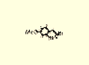 COc1ccc(C=C(Br)Br)c(I)c1